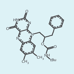 Cc1cc2nc3c(=O)[nH]c(=O)nc-3n(CC(Cc3ccccc3)OC(=O)NC(C)(C)C)c2cc1C